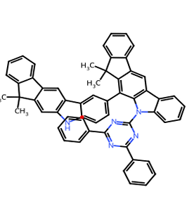 CC1(C)c2ccccc2-c2cc3c(cc21)[nH]c1ccc(-c2c4c(cc5c6ccccc6n(-c6nc(-c7ccccc7)nc(-c7ccccc7)n6)c25)-c2ccccc2C4(C)C)cc13